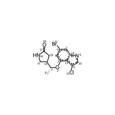 C[C@@H](Oc1cc(Br)cn2ncc(Cl)c12)C1CNC(=O)C1